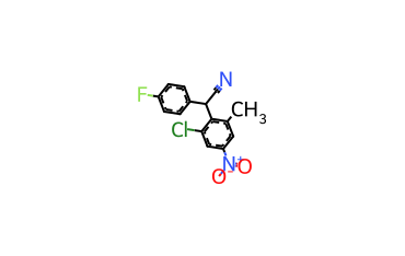 Cc1cc([N+](=O)[O-])cc(Cl)c1C(C#N)c1ccc(F)cc1